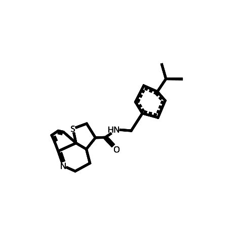 CC(C)c1ccc(CNC(=O)C2CSC34C=CC=CC3=NCCC24)cc1